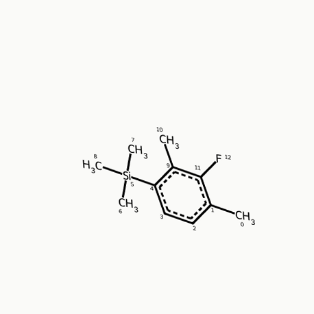 Cc1ccc([Si](C)(C)C)c(C)c1F